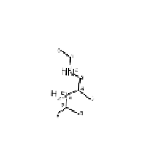 CCNCC(C)[SiH2]C(C)C